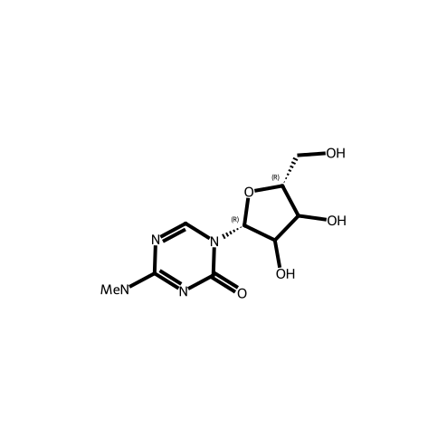 CNc1ncn([C@@H]2O[C@H](CO)C(O)C2O)c(=O)n1